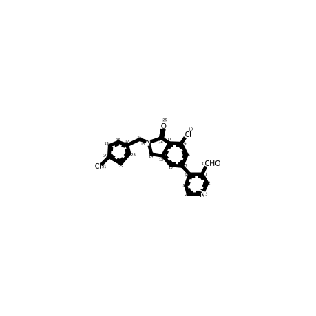 O=Cc1cnccc1-c1cc(Cl)c2c(c1)CN(Cc1ccc(Cl)cc1)C2=O